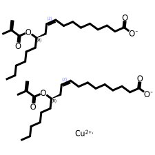 C=C(C)C(=O)O[C@@H](C/C=C\CCCCCCCC(=O)[O-])CCCCCC.C=C(C)C(=O)O[C@@H](C/C=C\CCCCCCCC(=O)[O-])CCCCCC.[Cu+2]